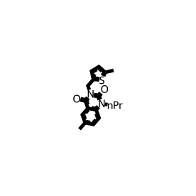 CCCn1c(=O)n(Cc2ccc(C)s2)c(=O)c2cc(C)ccc21